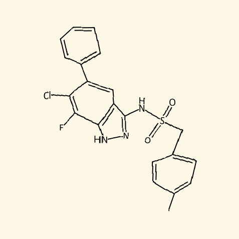 Cc1ccc(CS(=O)(=O)Nc2n[nH]c3c(F)c(Cl)c(-c4ccccc4)cc23)cc1